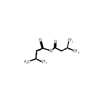 O=C(CC(C(F)(F)F)C(F)(F)F)OC(=O)CC(C(F)(F)F)C(F)(F)F